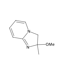 COC1(C)CN2C=CC=CC2=N1